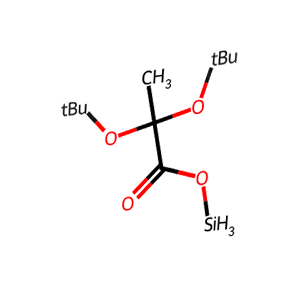 CC(C)(C)OC(C)(OC(C)(C)C)C(=O)O[SiH3]